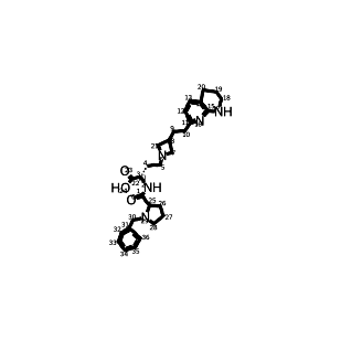 O=C(N[C@@H](CCN1CC(CCc2ccc3c(n2)NCCC3)C1)C(=O)O)C1CCCN1Cc1ccccc1